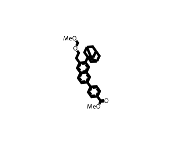 COCOCCc1cc2ccc(-c3ccc(C(=O)OC)cc3)cc2cc1C12CC3CC(CC(C3)C1)C2